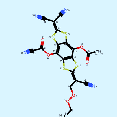 CCOOC/C(C#N)=C1/Sc2c(OC(C)=O)c3c(c(OC(=O)C#N)c2S1)SC(=C(C#N)C#N)S3